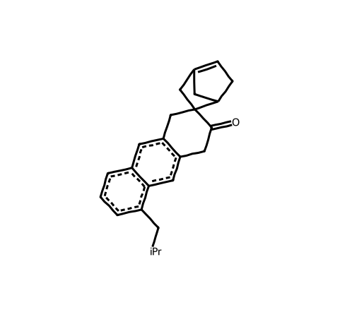 CC(C)Cc1cccc2cc3c(cc12)CC(=O)C1(CC2=CCC1C2)C3